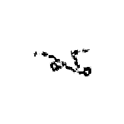 CC(=O)NCCCCN(CCCCN(CCCCNC(C)=O)Cc1ccccc1)Cc1ccccc1